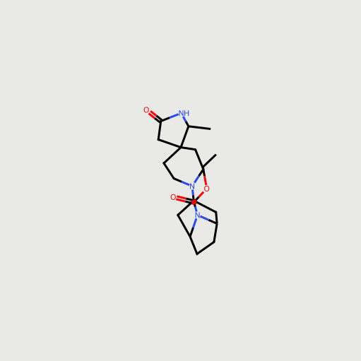 CCOC(=O)N1C2CCC1CC(N1CCC3(CC1)CC(=O)NC3C)C2